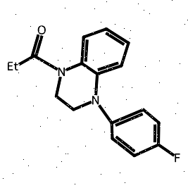 CCC(=O)N1CCN(c2ccc(F)cc2)c2ccccc21